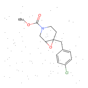 CC(C)(C)OC(=O)N1CCC2(Cc3ccc(Cl)cc3)OC2C1